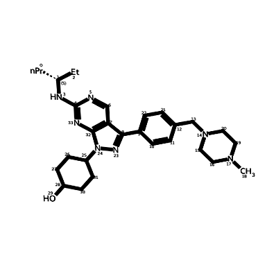 CCC[C@H](CC)Nc1ncc2c(-c3ccc(CN4CCN(C)CC4)cc3)nn(C3CCC(O)CC3)c2n1